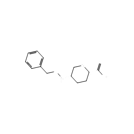 O=C(O)[C@@H]1CC[C@H](NOCc2ccccc2)CN1